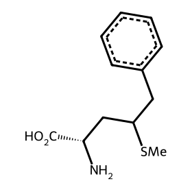 CSC(Cc1ccccc1)C[C@H](N)C(=O)O